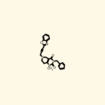 Cn1c2c(c(=O)n(Cc3ccccc3)c1=O)CN(CC#Cc1nc3ccccc3o1)CC2